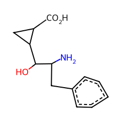 NC(Cc1ccccc1)C(O)C1CC1C(=O)O